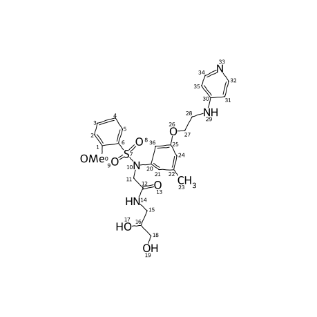 COc1ccccc1S(=O)(=O)N(CC(=O)NCC(O)CO)c1cc(C)cc(OCCNc2ccncc2)c1